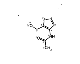 CC(=O)Nc1ccsc1CO